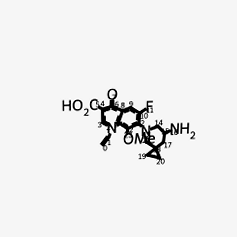 C=Cn1cc(C(=O)O)c(=O)c2cc(F)c(N3CC(N)CC4(CC4)C3)c(OC)c21